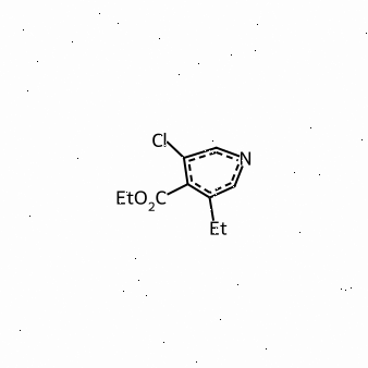 CCOC(=O)c1c(Cl)cncc1CC